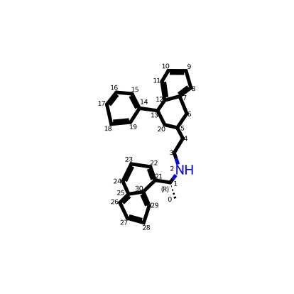 C[C@@H](NCCC1Cc2ccccc2C(c2ccccc2)C1)c1cccc2ccccc12